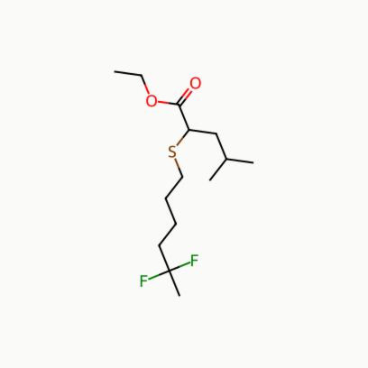 CCOC(=O)C(CC(C)C)SCCCCC(C)(F)F